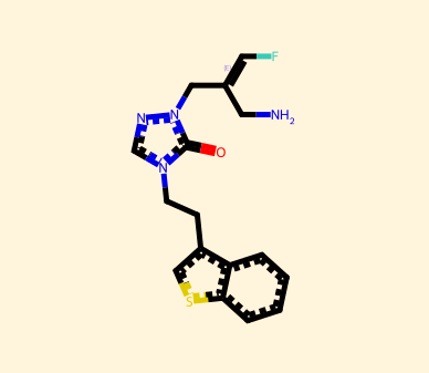 NC/C(=C\F)Cn1ncn(CCc2csc3ccccc23)c1=O